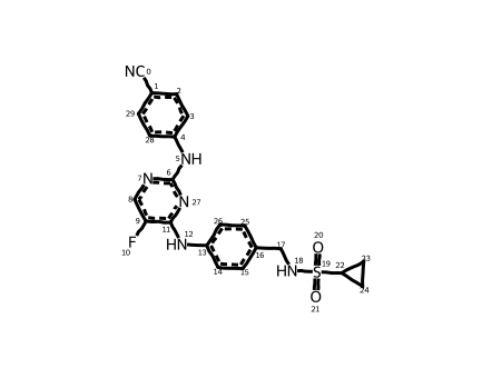 N#Cc1ccc(Nc2ncc(F)c(Nc3ccc(CNS(=O)(=O)C4CC4)cc3)n2)cc1